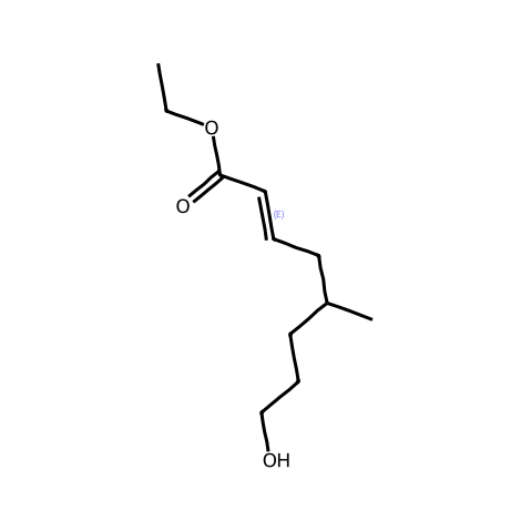 CCOC(=O)/C=C/CC(C)CCCO